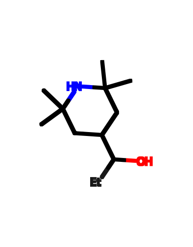 [CH2]CC(O)C1CC(C)(C)NC(C)(C)C1